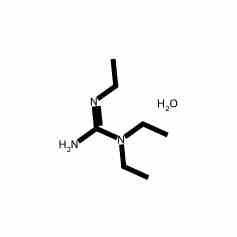 CCN=C(N)N(CC)CC.O